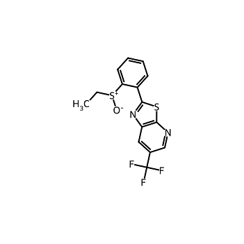 CC[S+]([O-])c1ccccc1-c1nc2cc(C(F)(F)F)cnc2s1